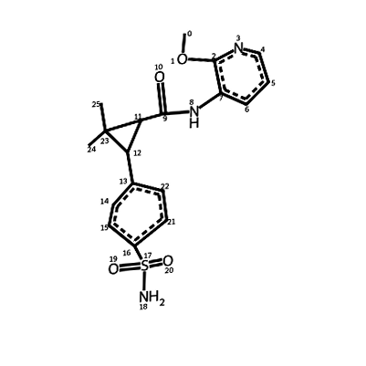 COc1ncccc1NC(=O)C1C(c2ccc(S(N)(=O)=O)cc2)C1(C)C